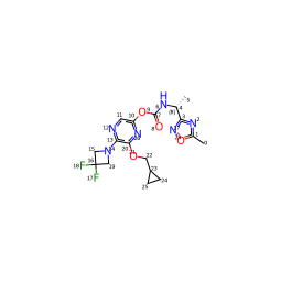 Cc1nc([C@@H](C)NC(=O)Oc2cnc(N3CC(F)(F)C3)c(OCC3CC3)n2)no1